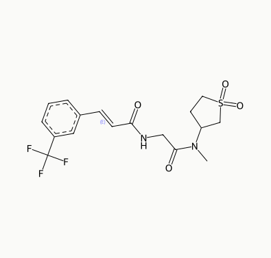 CN(C(=O)CNC(=O)/C=C/c1cccc(C(F)(F)F)c1)C1CCS(=O)(=O)C1